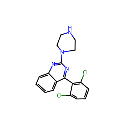 Clc1cccc(Cl)c1-c1nc(N2CCNCC2)nc2ccccc12